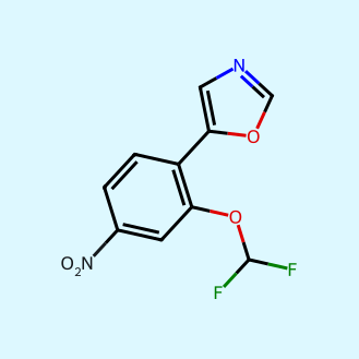 O=[N+]([O-])c1ccc(-c2cnco2)c(OC(F)F)c1